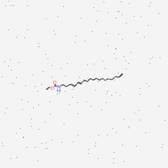 C=CCCCCCCCCCCCCCCCCCNC(=O)OC=C